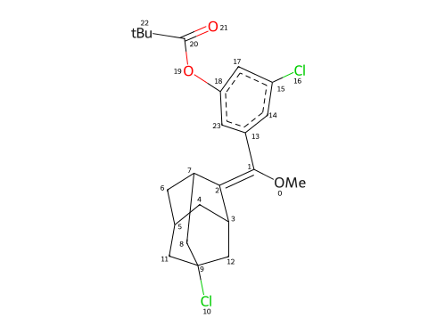 COC(=C1C2CC3CC1CC(Cl)(C3)C2)c1cc(Cl)cc(OC(=O)C(C)(C)C)c1